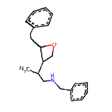 CC(CNCc1ccccc1)C1COC1Cc1ccccc1